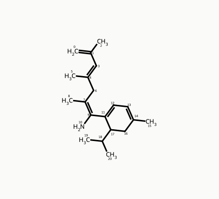 C=C(C)/C=C(\C)C/C(C)=C(/N)C1=CC=C(C)CC1C(C)C